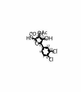 CCOC(=O)Nc1oc(-c2ccc(Cl)c(Cl)c2)c(O)c1OC(C)=O